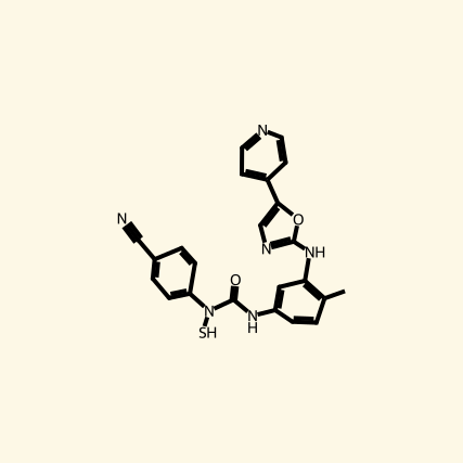 Cc1ccc(NC(=O)N(S)c2ccc(C#N)cc2)cc1Nc1ncc(-c2ccncc2)o1